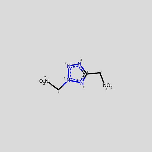 O=[N+]([O-])Cc1nnn(C[N+](=O)[O-])n1